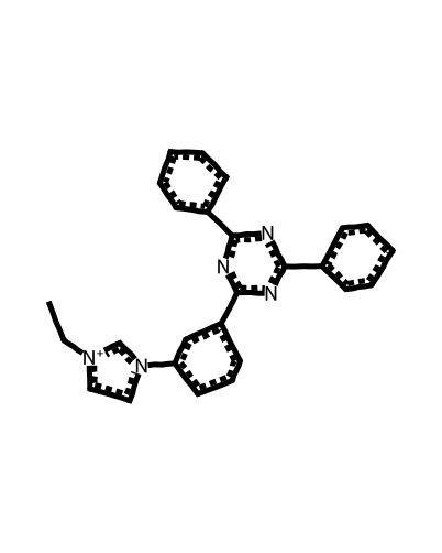 CC[n+]1ccn(-c2cccc(-c3nc(-c4ccccc4)nc(-c4ccccc4)n3)c2)c1